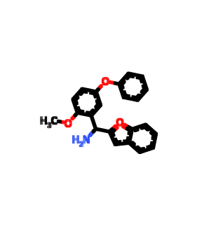 COc1ccc(Oc2ccccc2)cc1C(N)c1cc2ccccc2o1